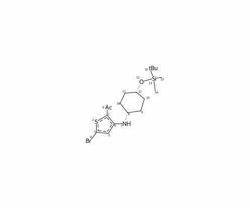 CC(=O)c1sc(Br)cc1N[C@H]1CC[C@@H](O[Si](C)(C)C(C)(C)C)CC1